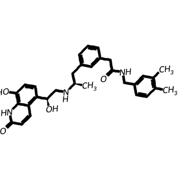 Cc1ccc(CNC(=O)Cc2cccc(C[C@@H](C)NC[C@@H](O)c3ccc(O)c4[nH]c(=O)ccc34)c2)cc1C